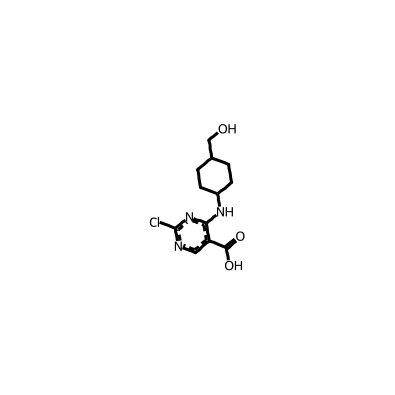 O=C(O)c1cnc(Cl)nc1NC1CCC(CO)CC1